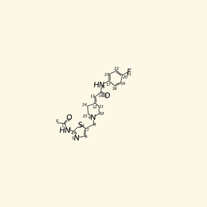 CC(=O)Nc1ncc(CN2CCC(=CC(=O)Nc3ccc(F)cc3)CC2)s1